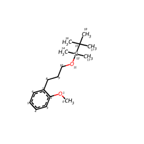 COc1ccccc1CCCO[Si](C)(C)C(C)(C)C